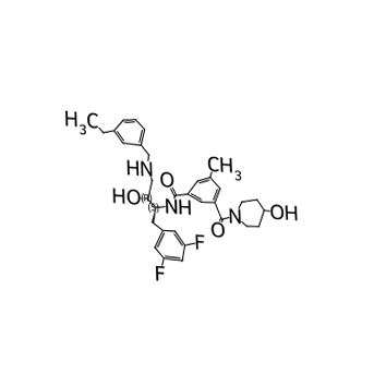 CCc1cccc(CNC[C@@H](O)[C@H](Cc2cc(F)cc(F)c2)NC(=O)c2cc(C)cc(C(=O)N3CCC(O)CC3)c2)c1